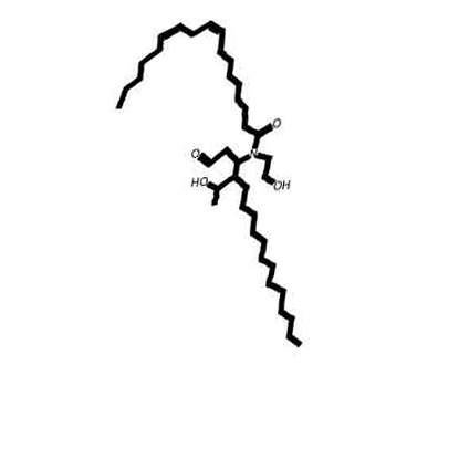 CCCCC/C=C\C/C=C\CCCCCCCC(=O)N(CCO)C(CC=O)C(CCCCCCCCCCCCC)C(C)O